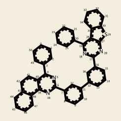 c1ccc(-c2nc(-c3cccc(-c4cccc(-c5nc(-c6ccccc6)c6c(n5)sc5ccccc56)c4)c3)nc3c2ccc2ccccc23)cc1